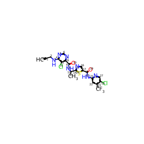 C#CCNc1ncnc(C(=O)NC(C)c2ncc(C(=O)Nc3cc(C(F)(F)F)c(Cl)cn3)s2)c1Cl